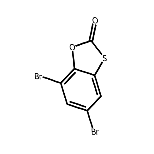 O=c1oc2c(Br)cc(Br)cc2s1